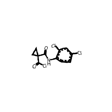 O=C(Cl)C1(C(=O)Nc2ccc(Cl)cc2Cl)CC1